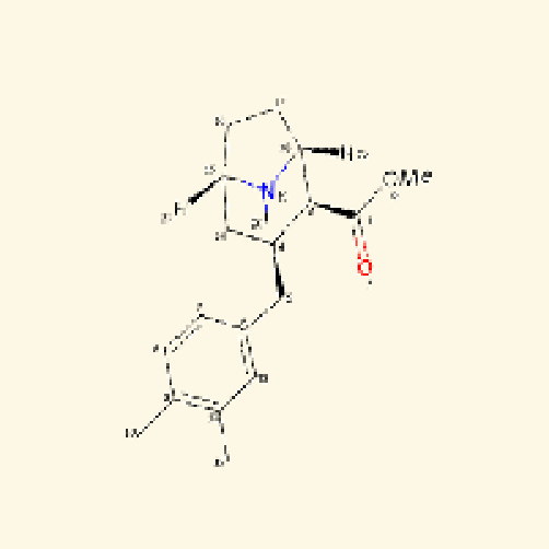 COC(=O)[C@H]1[C@@H](Cc2ccc(C)c(C)c2)C[C@@H]2CC[C@H]1N2C